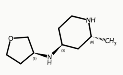 C[C@@H]1C[C@@H](N[C@H]2CCOC2)CCN1